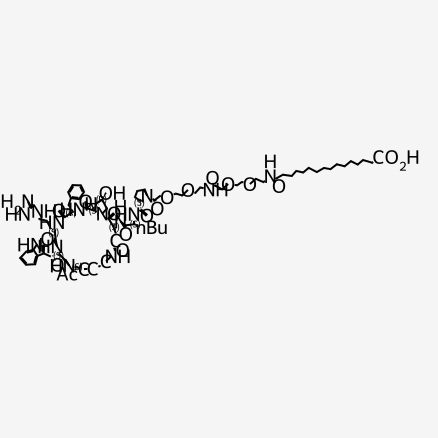 CCCC[C@H](NC(=O)[C@@H]1CCCN1C(=O)COCCOCCNC(=O)COCCOCCNC(=O)CCCCCCCCCCCCCCC(=O)O)C(=O)N[C@H]1CCC(=O)NCCCC[C@@H](C(C)=O)NC(=O)[C@H](Cc2c[nH]c3ccccc23)NC(=O)[C@H](CCCNC(=N)N)NC(=O)[C@@H](Cc2ccccc2)NC(=O)[C@@H]2C[C@@H](O)CN2C1=O